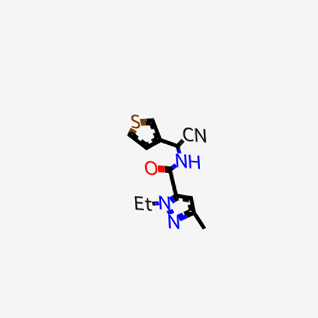 CCn1nc(C)cc1C(=O)NC(C#N)c1ccsc1